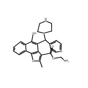 Cc1oc2c(c1C(=O)OCN)c(C(c1ccncc1)N1CCNCC1)c(O)c1ccccc12